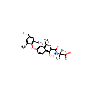 Bc1cc(B)c(Oc2ccc3c(O)c(C(=O)NC(B)(B)C(=O)O)nc(C)c3c2)c(B)c1